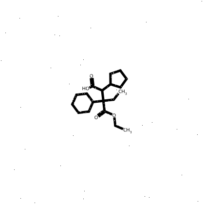 CCOC(=O)C(CC)(C1CCCCC1)C(C(=O)O)C1CCCC1